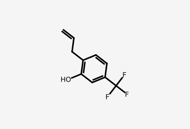 C=CCc1ccc(C(F)(F)F)cc1O